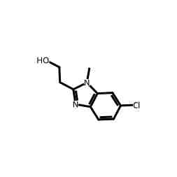 Cn1c(CCO)nc2ccc(Cl)cc21